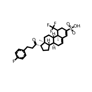 C[C@]12CC[C@H]3[C@@H](CC=C4C=C(S(=O)(=O)O)CC(C(F)(F)F)[C@@]43C)[C@@H]1CC[C@@H]2C(=O)CCc1ccc(F)cc1